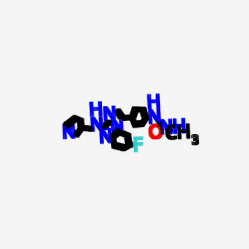 CNC(=O)Nc1ccc(-c2cnc3c(NCc4cccnc4)nc4ccc(F)cc4n23)cc1